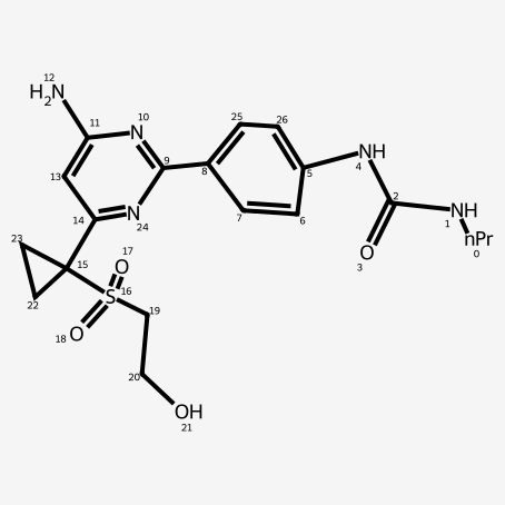 CCCNC(=O)Nc1ccc(-c2nc(N)cc(C3(S(=O)(=O)CCO)CC3)n2)cc1